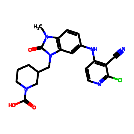 Cn1c(=O)n(CC2CCCN(C(=O)O)C2)c2cc(Nc3ccnc(Cl)c3C#N)ccc21